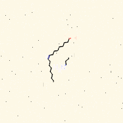 CCCCCCCC/C=C\CCCCCCCC(=O)O.CCCCN